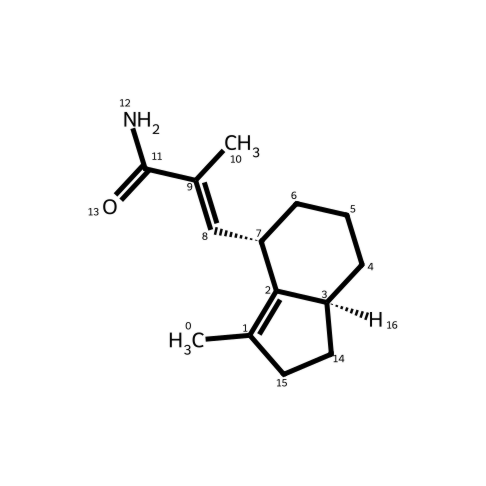 CC1=C2[C@@H](CCC[C@H]2/C=C(\C)C(N)=O)CC1